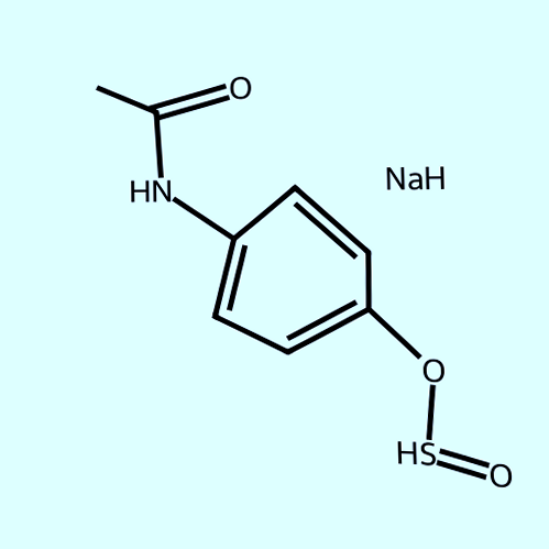 CC(=O)Nc1ccc(O[SH]=O)cc1.[NaH]